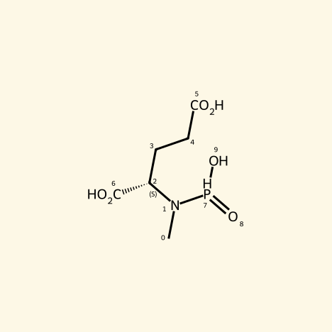 CN([C@@H](CCC(=O)O)C(=O)O)[PH](=O)O